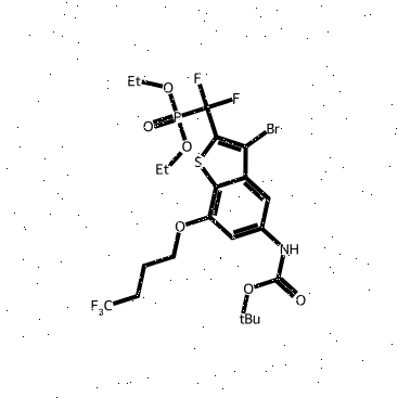 CCOP(=O)(OCC)C(F)(F)c1sc2c(OCCCC(F)(F)F)cc(NC(=O)OC(C)(C)C)cc2c1Br